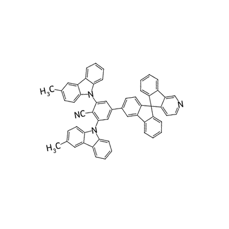 Cc1ccc2c(c1)c1ccccc1n2-c1cc(-c2ccc3c(c2)-c2ccccc2C32c3ccccc3-c3cnccc32)cc(-n2c3ccccc3c3cc(C)ccc32)c1C#N